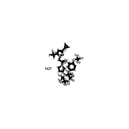 Cl.[2H]C([2H])([2H])Oc1cccc([C@@H]2[C@H](N3C([2H])([2H])C([2H])([2H])NC([2H])([2H])C3([2H])[2H])CCN2C(=O)Cn2nc(C3CC3)cc2C(F)(F)F)c1C